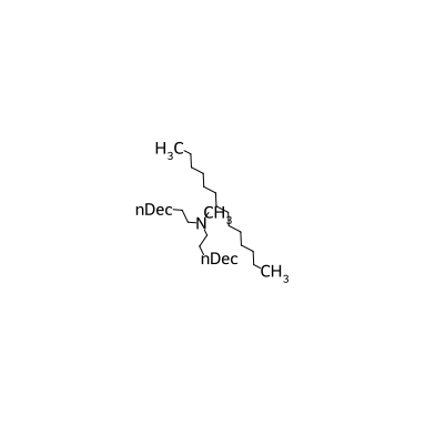 CCCCCCCCCCCCCC.CCCCCCCCCCCCN(C)CCCCCCCCCCCC